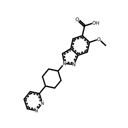 COc1cc2nn(C3CCC(c4cccnn4)CC3)cc2cc1C(=O)O